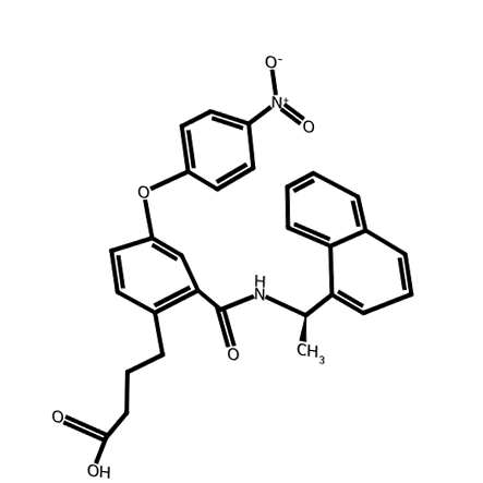 C[C@@H](NC(=O)c1cc(Oc2ccc([N+](=O)[O-])cc2)ccc1CCCC(=O)O)c1cccc2ccccc12